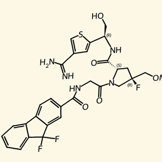 COC[C@@]1(F)C[C@@H](C(=O)N[C@H](CO)c2cc(C(=N)N)cs2)N(C(=O)CNC(=O)c2ccc3c(c2)C(F)(F)c2ccccc2-3)C1